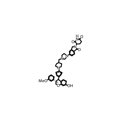 COc1cccc([C@H]2COc3cc(O)ccc3C2c2ccc(N3CCC(CN4CCN(c5ccc6c(c5)CN(C5CCC(=O)NC5=O)C6=O)CC4)CC3)cc2)c1